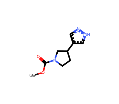 CC(C)(C)OC(=O)N1CCC(c2cn[nH]c2)C1